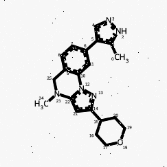 Cc1[nH]ncc1-c1ccc2c(c1)-n1nc(C3CCOCC3)cc1N(C)C2